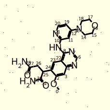 COc1cc2ncnc(Nc3cc(N4CCOCC4)ccn3)c2cc1C(CC(N)=O)C(N)=O